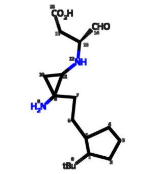 CC(C)(C)C1CCCC1CCC1(N)CC1N[C@H](C=O)CC(=O)O